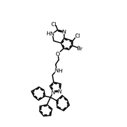 ClC1=Nc2c(Cl)c(Br)cc(OCCNCc3cnn(C(c4ccccc4)(c4ccccc4)c4ccccc4)c3)c2CN1